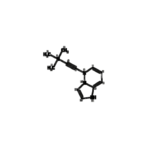 C[Si](C)(C)C#CN1C=CC=C2NC=CN21